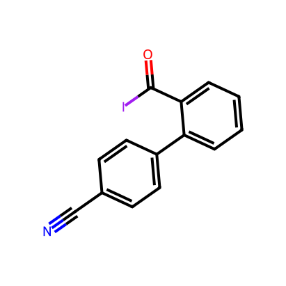 N#Cc1ccc(-c2ccccc2C(=O)I)cc1